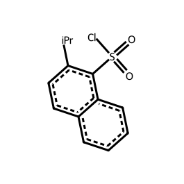 CC(C)c1ccc2ccccc2c1S(=O)(=O)Cl